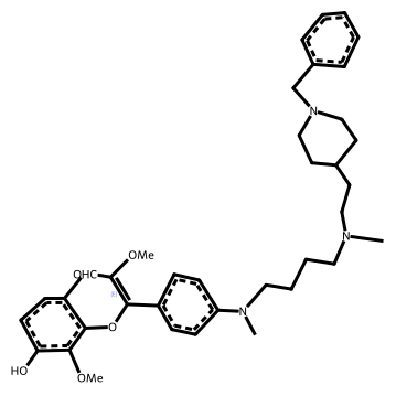 CO/C(C=O)=C(/Oc1c(C)ccc(O)c1OC)c1ccc(N(C)CCCCN(C)CCC2CCN(Cc3ccccc3)CC2)cc1